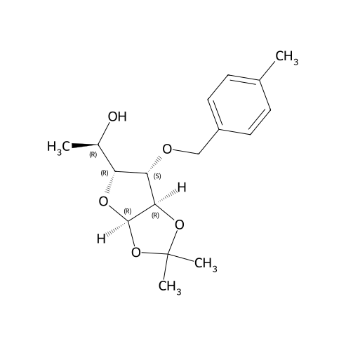 Cc1ccc(CO[C@@H]2[C@H]3OC(C)(C)O[C@H]3O[C@@H]2[C@@H](C)O)cc1